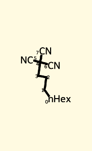 CCCCCCCCCC(C#N)(C#N)C#N